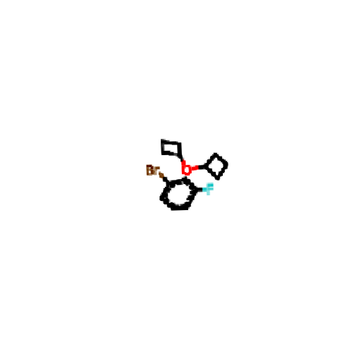 C1CC(OC2CCC2)C1.Fc1cccc(Br)c1